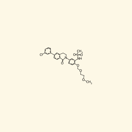 COCCOCOc1ccc(N2CCc3cc(-c4cccc(Cl)c4)ccc3C2=O)cc1NS(C)(=O)=O